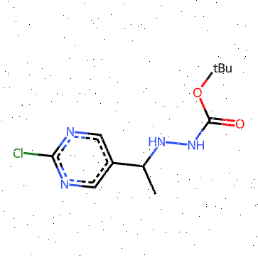 CC(NNC(=O)OC(C)(C)C)c1cnc(Cl)nc1